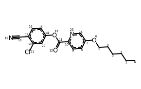 CCCCCCOc1ccc(C(=O)Oc2ccc(C#N)c(Cl)c2)nc1